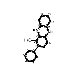 Cc1c(-c2ccccc2)ccc2nc3ccccc3nc12